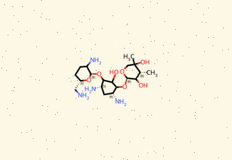 C[C@@H]1C(O)[C@@H](OC2C(O)C(O[C@H]3O[C@H](CN)CCC3N)[C@@H](N)C[C@H]2N)OCC1(C)O